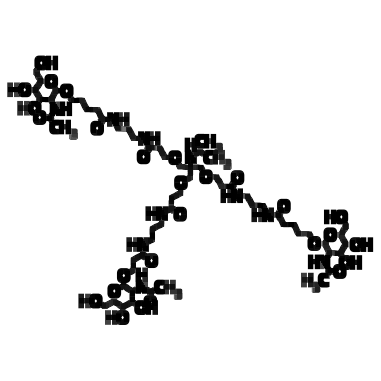 CC(=O)NC1C(O)[C@@H](O)C(CO)O[C@H]1OCCCCC(=O)NCCCNC(=O)CCOCC(COCCC(=O)NCCCNC(=O)CCCCO[C@@H]1OC(CO)[C@H](O)C(O)C1NC(C)=O)(COCCC(=O)NCCCNC(=O)CCO[C@@H]1OC(CO)[C@H](O)C(O)C1NC(C)=O)NC(C)C